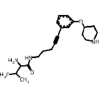 CC(C)C(N)C(=O)NCCCC#Cc1cccc(OC2CCNCC2)c1